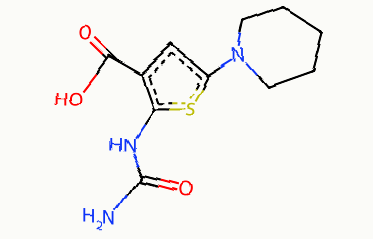 NC(=O)Nc1sc(N2CCCCC2)cc1C(=O)O